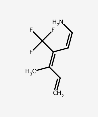 C=C/C(C)=C(\C=C/N)C(F)(F)F